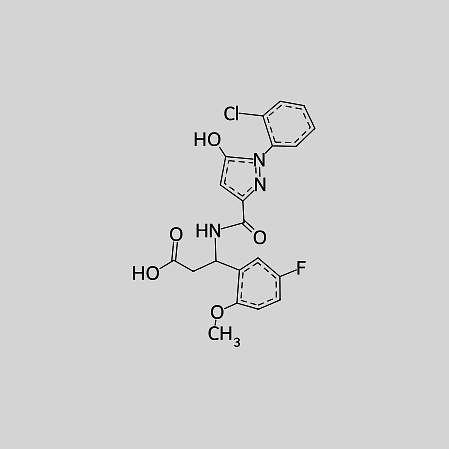 COc1ccc(F)cc1C(CC(=O)O)NC(=O)c1cc(O)n(-c2ccccc2Cl)n1